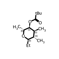 CC[C@H]1O[C@H](C)[C@@H](OC(=O)C(C)(C)C)[C@@H](C)[C@@H]1C